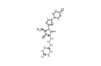 C=C1C(c2ccc(-c3ccc(Cl)cc3)o2)N(N)C(=O)N1CCCN1CCN(C)CC1